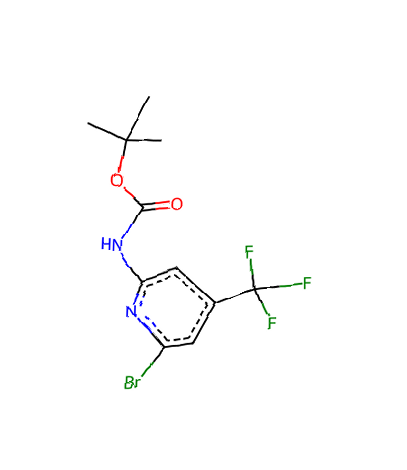 CC(C)(C)OC(=O)Nc1cc(C(F)(F)F)cc(Br)n1